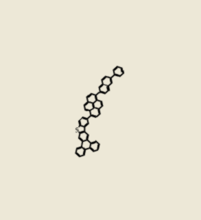 c1ccc(-c2ccc3cc(-c4ccc5ccc6c(-c7ccc8sc9cc%10c%11ccccc%11c%11ccccc%11c%10cc9c8c7)ccc7ccc4c5c76)ccc3c2)cc1